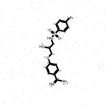 CC(C)c1ccc(S(=O)(=O)NCC(O)COc2ccc(C(=N)N)cc2)cc1